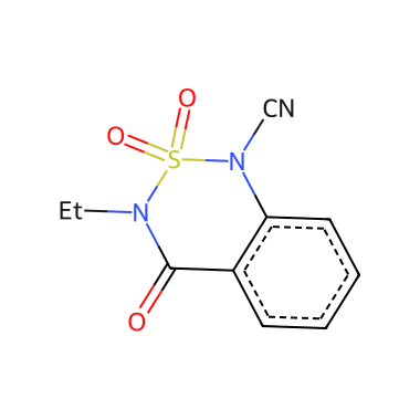 CCN1C(=O)c2ccccc2N(C#N)S1(=O)=O